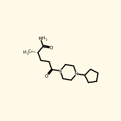 C[C@@H](C[CH]C(=O)N1CCN(C2CCCC2)CC1)C(N)=O